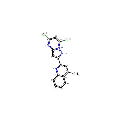 Cc1cc(-c2cc3nc(Cl)cc(Cl)n3n2)nc2ccccc12